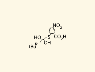 CC(C)(C)SCC(O)C(O)CSc1ccc([N+](=O)[O-])cc1C(=O)O